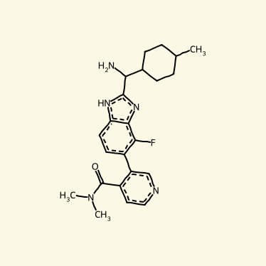 CC1CCC(C(N)c2nc3c(F)c(-c4cnccc4C(=O)N(C)C)ccc3[nH]2)CC1